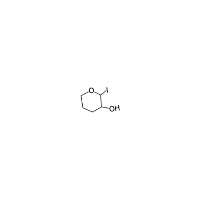 OC1CCCOC1I